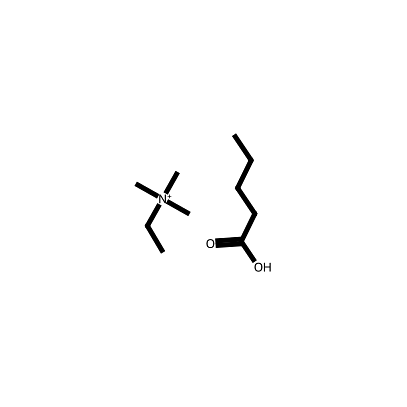 CCCCC(=O)O.CC[N+](C)(C)C